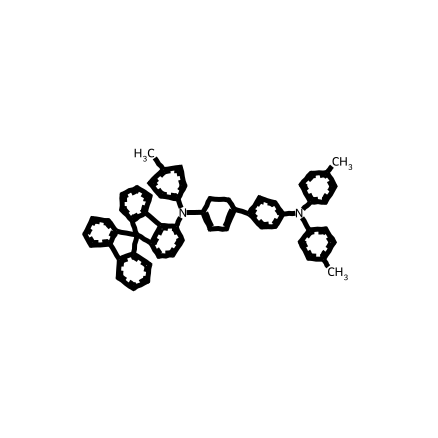 Cc1ccc(N(C2=CC=C(c3ccc(N(c4ccc(C)cc4)c4ccc(C)cc4)cc3)CC2)c2cccc3c2-c2ccccc2C32c3ccccc3-c3ccccc32)cc1